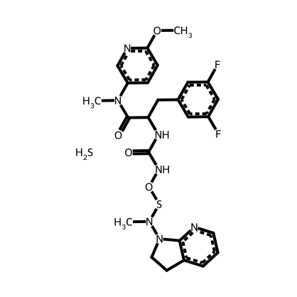 COc1ccc(N(C)C(=O)C(Cc2cc(F)cc(F)c2)NC(=O)NOSN(C)N2CCc3cccnc32)cn1.S